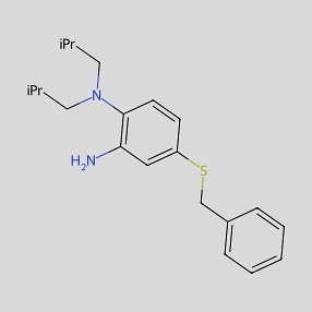 CC(C)CN(CC(C)C)c1ccc(SCc2ccccc2)cc1N